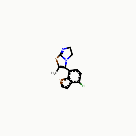 CC1=C(c2ccc(Cl)c3ccsc23)N2CCN=C2S1